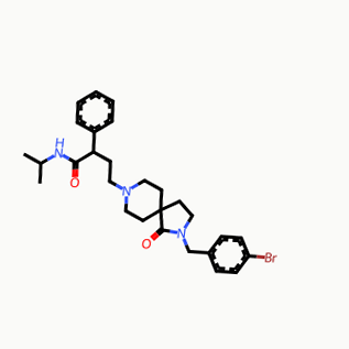 CC(C)NC(=O)C(CCN1CCC2(CC1)CCN(Cc1ccc(Br)cc1)C2=O)c1ccccc1